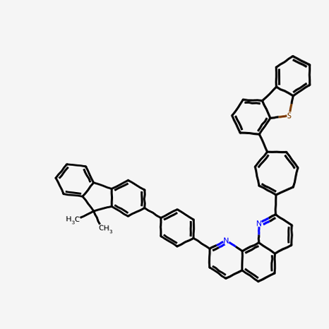 CC1(C)c2ccccc2-c2ccc(-c3ccc(-c4ccc5ccc6ccc(C7=CC=C(c8cccc9c8sc8ccccc89)C=CC7)nc6c5n4)cc3)cc21